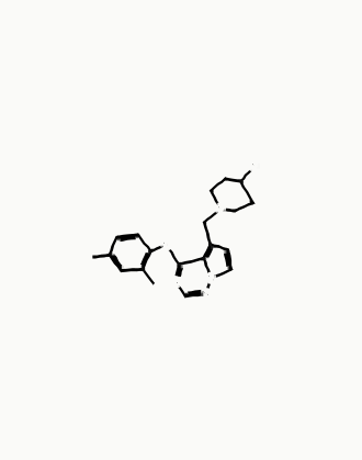 Cc1ccc(Nc2ncnn3ccc(CN4CCC(N)CC4)c23)c(C)c1